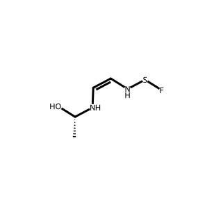 C[C@H](O)N/C=C\NSF